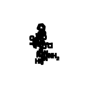 CNc1nc(N)nc2c1ncn2[C@@H]1O[C@]2(CCl)[C@@H](O[P@@](=O)(N[C@H](C)C(=O)OC(C)C)Oc3ccccc3)[C@]2(O)[C@@H]1F